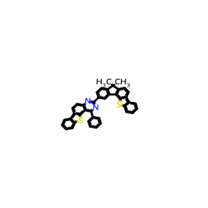 CC1(C)c2ccc(-c3nc(-c4ccccc4)c4c(ccc5c6ccccc6sc54)n3)cc2-c2c1ccc1c2sc2ccccc21